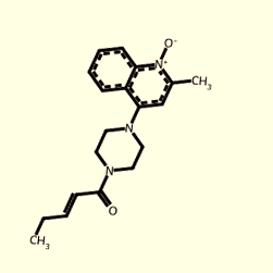 CC/C=C/C(=O)N1CCN(c2cc(C)[n+]([O-])c3ccccc23)CC1